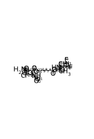 C[C@@H](COC(=O)CCCCCCCOC(=O)c1cc(S(N)(=O)=O)c(Cl)cc1NCc1ccco1)N[C@H](C)C(=O)c1cc(F)cc(F)c1